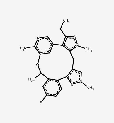 CCc1nn(C)c2c1-c1cnc(N)c(c1)OC(C)c1cc(F)ccc1-c1nn(C)cc1C2